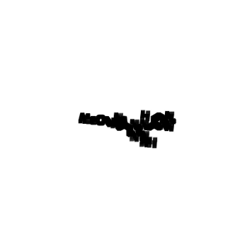 COCCn1cc(-c2cnc(N=N)c(NCc3ccc4ncnn4c3)n2)cn1